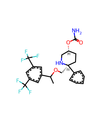 CC(OC[C@@]1(c2ccccc2)CC[C@@H](OC(N)=O)CN1)c1cc(C(F)(F)F)cc(C(F)(F)F)c1